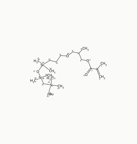 C=C(C)C(=O)OCC(C)COCCC[Si](C)(C)O[Si](C)(C)C[Si](C)(C)CCCC